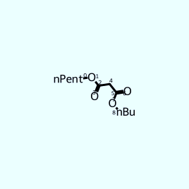 CCCCCOC(=O)CC(=O)OCCCC